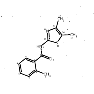 Cc1ccccc1C(=O)Nc1nc(C)c(C)s1